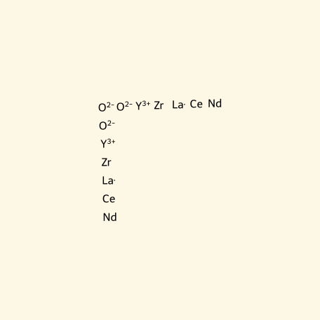 [Ce].[Ce].[La].[La].[Nd].[Nd].[O-2].[O-2].[O-2].[Y+3].[Y+3].[Zr].[Zr]